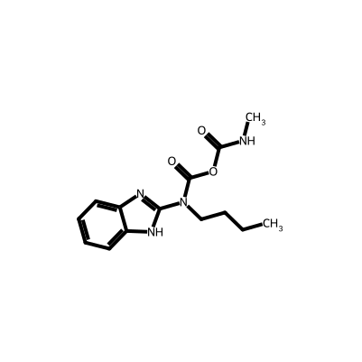 CCCCN(C(=O)OC(=O)NC)c1nc2ccccc2[nH]1